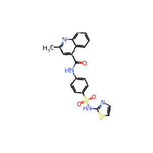 Cc1cc(C(=O)Nc2ccc(S(=O)(=O)Nc3nccs3)cc2)c2ccccc2n1